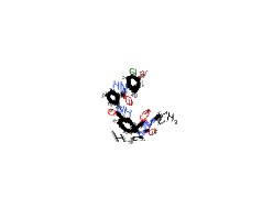 CCn1c(=O)c2cc(C(=O)N[C@@H]3CCC[C@@H]3C(=O)Nc3ccc(Br)c(Cl)c3)ccc2n(CC)c1=O